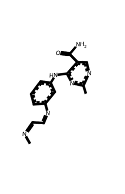 C/N=C\C=N/c1cccc(Nc2nc(C)ncc2C(N)=O)c1